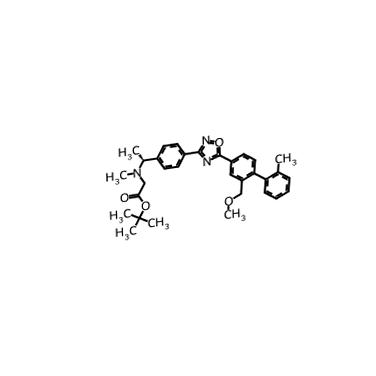 COCc1cc(-c2nc(-c3ccc([C@H](C)N(C)CC(=O)OC(C)(C)C)cc3)no2)ccc1-c1ccccc1C